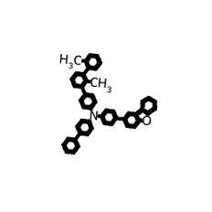 Cc1ccccc1-c1cccc(-c2ccc(N(c3ccc(-c4ccccc4)cc3)c3ccc(-c4ccc5oc6ccccc6c5c4)cc3)cc2)c1C